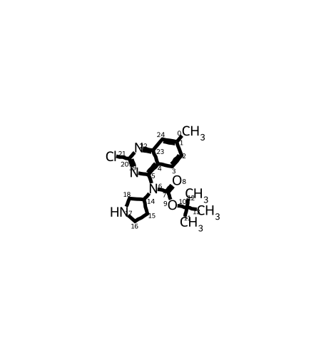 Cc1ccc2c(N(C(=O)OC(C)(C)C)C3CCNC3)nc(Cl)nc2c1